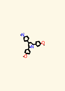 COc1ccc(-c2cc(-c3ccc(N(C)C)cc3)cc(-c3ccc(OC)cc3)n2)cc1